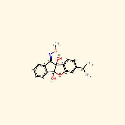 CO/N=C1/c2ccccc2C2(O)Oc3cc(C(C)C)ccc3C12O